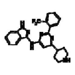 FC(F)(F)c1ccccc1-c1nc(Nc2n[nH]c3ccccc23)cc(C2CCNCC2)n1